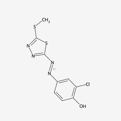 CSc1nnc(/N=N/c2ccc(O)c(Cl)c2)s1